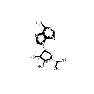 Nc1ncnc2c1ncn2[C@@H]1O[C@H](C(O)C(F)(F)F)[C@@H](O)[C@H]1S